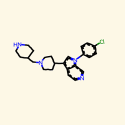 Clc1ccc(-n2cc(C3CCN(CC4CCNCC4)CC3)c3ccncc32)cc1